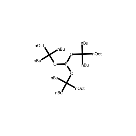 CCCCCCCCC(CCCC)(CCCC)OP(OC(CCCC)(CCCC)CCCCCCCC)OC(CCCC)(CCCC)CCCCCCCC